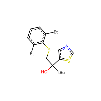 CCc1cccc(CC)c1SCC(O)(c1cncs1)C(C)(C)C